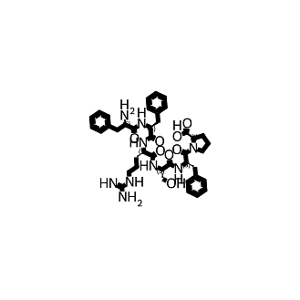 N=C(N)NCCC[C@H](NC(=O)[C@H](Cc1ccccc1)NC(=O)[C@@H](N)Cc1ccccc1)C(=O)N[C@@H](CO)C(=O)N[C@@H](Cc1ccccc1)C(=O)N1CCC[C@@H]1C(=O)O